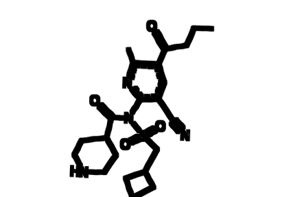 CCCC(=O)c1cc(C#N)c(N(C(=O)C2CCNCC2)S(=O)(=O)CC2CCC2)nc1C